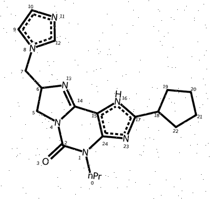 CCCN1C(=O)N2CC(Cn3ccnc3)N=C2c2[nH]c(C3CCCC3)nc21